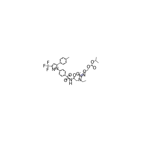 CCN(CC(=O)NS(=O)(=O)c1ccc(-n2nc(C(F)(F)F)cc2-c2ccc(C)cc2)cc1)/[N+]([O-])=N/OCOC(=O)OC(C)C